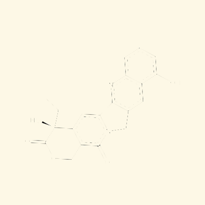 CC[C@@]1(O)C(=O)OCc2c1cc1n(c2=O)Cc2cc3c(O)cccc3nc2-1